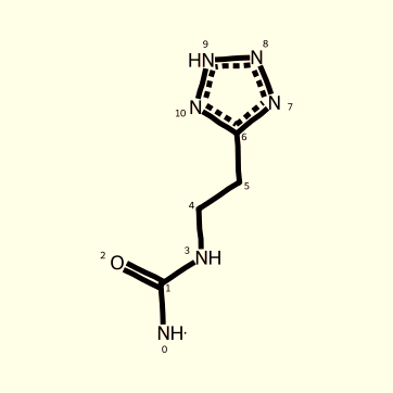 [NH]C(=O)NCCc1nn[nH]n1